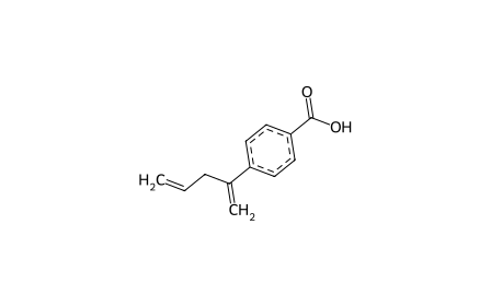 C=CCC(=C)c1ccc(C(=O)O)cc1